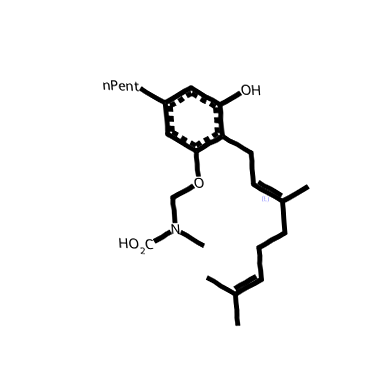 CCCCCc1cc(O)c(C/C=C(\C)CCC=C(C)C)c(OCN(C)C(=O)O)c1